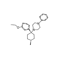 CCOc1cccc([C@]2(N3CCN(c4ccccc4)CC3)CC[C@H](C)CC2)c1